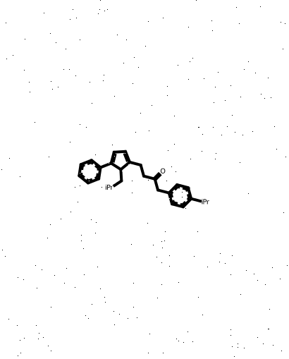 CC(C)CC1C(CCC(=O)Cc2ccc(C(C)C)cc2)=CC=C1c1ccccc1